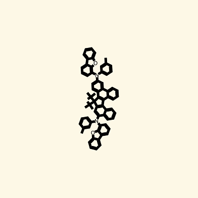 Cc1cccc(N(c2ccc3c4c(c5ccccc5c3c2)-c2c(cc(N(c3cccc(C)c3)c3cccc5c3oc3ccccc35)c3ccccc23)C4(C(C)(C)C)C(C)(C)C)c2cccc3c2oc2ccccc23)c1